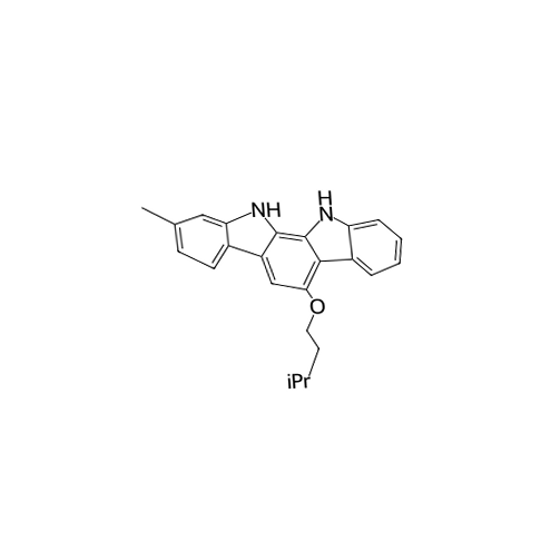 Cc1ccc2c(c1)[nH]c1c2cc(OCCC(C)C)c2c3ccccc3[nH]c12